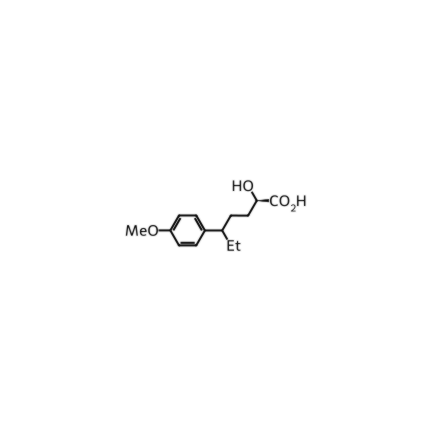 CCC(CC[C@@H](O)C(=O)O)c1ccc(OC)cc1